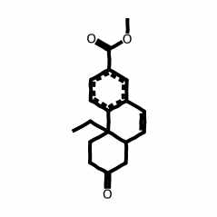 CCC12CCC(=O)CC1C=Cc1cc(C(=O)OC)ccc12